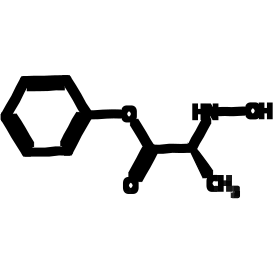 C[C@H](NO)C(=O)Oc1ccccc1